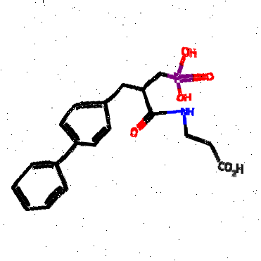 O=C(O)CCNC(=O)C(Cc1ccc(-c2ccccc2)cc1)CP(=O)(O)O